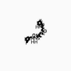 CN(Cc1csc(NC(=O)NCc2cccc(F)c2)n1)C(=O)CCc1nc2ccccc2[nH]1